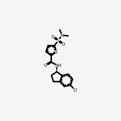 CN(C)S(=O)(=O)c1ccc(C(=O)N[C@@H]2CCc3cc(Cl)ccc32)s1